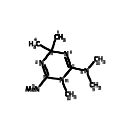 CNC1=NC(C)(C)N=C(N(C)C)N1C